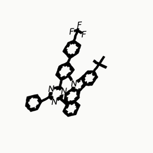 CC(C)(C)c1ccc2c3ccccc3n(-c3cc(-c4ccc(C(F)(F)F)cc4)ccc3-c3nc(-c4ccccc4)nc(-c4ccccc4)n3)c2c1